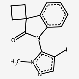 Cn1ncc(I)c1N1C(=O)C2(CCC2)c2ccccc21